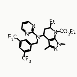 CCOC(=O)N1c2c(c(C)nn2C)C(N(Cc2cc(C(F)(F)F)cc(C(F)(F)F)c2)c2ncccn2)CC1CC